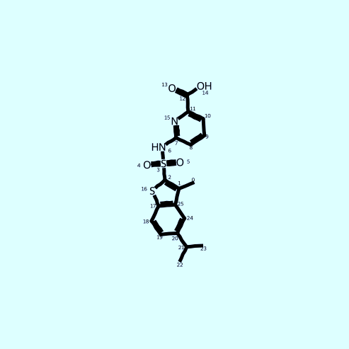 Cc1c(S(=O)(=O)Nc2cccc(C(=O)O)n2)sc2ccc(C(C)C)cc12